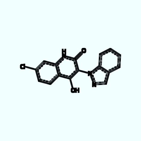 O=c1[nH]c2cc(Cl)ccc2c(O)c1-n1ncc2ccccc21